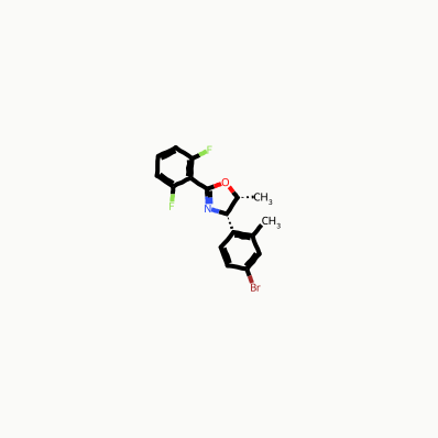 Cc1cc(Br)ccc1[C@@H]1N=C(c2c(F)cccc2F)O[C@@H]1C